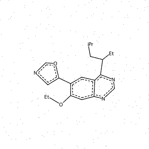 CCOc1cc2ncnc(C(CC)CC(C)C)c2cc1-c1cnco1